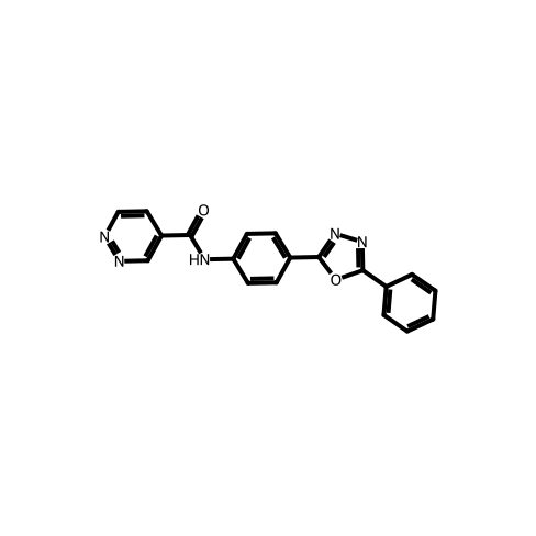 O=C(Nc1ccc(-c2nnc(-c3ccccc3)o2)cc1)c1ccnnc1